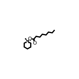 CCCCCCCC(=O)O[N+]1(C)CCCCC1